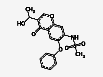 CC(O)c1coc2cc(NS(C)(=O)=O)c(Oc3ccccc3)cc2c1=O